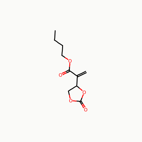 C=C(C(=O)OCCCC)C1COC(=O)O1